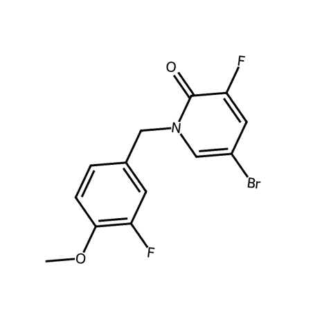 COc1ccc(Cn2cc(Br)cc(F)c2=O)cc1F